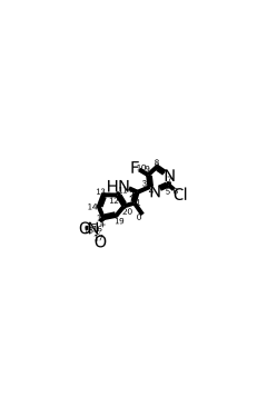 Cc1c(-c2nc(Cl)ncc2F)[nH]c2ccc([N+](=O)[O-])cc12